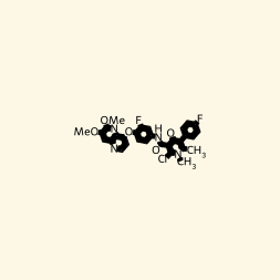 COc1cc2nccc(Oc3ccc(NC(=O)c4c(Cl)n(C)c(C)c(-c5ccc(F)cc5)c4=O)cc3F)c2nc1OC